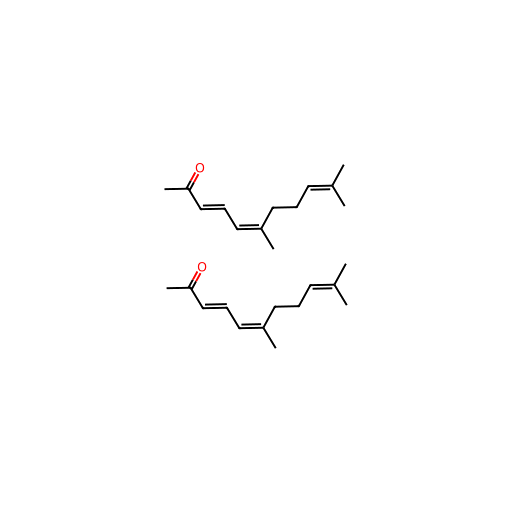 CC(=O)C=CC=C(C)CCC=C(C)C.CC(=O)C=CC=C(C)CCC=C(C)C